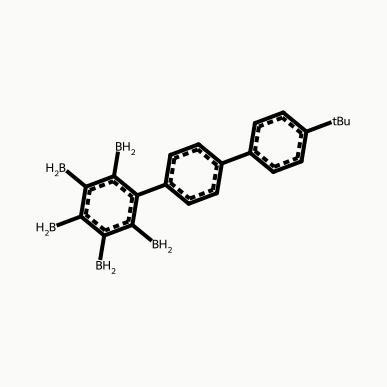 Bc1c(B)c(B)c(-c2ccc(-c3ccc(C(C)(C)C)cc3)cc2)c(B)c1B